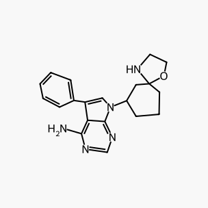 Nc1ncnc2c1c(-c1ccccc1)cn2C1CCCC2(C1)NCCO2